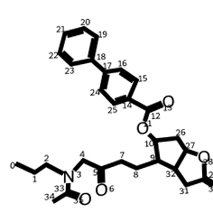 CCCN(CC(=O)CCC1C(OC(=O)c2ccc(-c3ccccc3)cc2)CC2OC(=O)CC21)C(C)=O